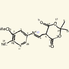 COc1cc(/N=C/C2C(=O)OC(C)(C)OC2=O)cnc1C#N